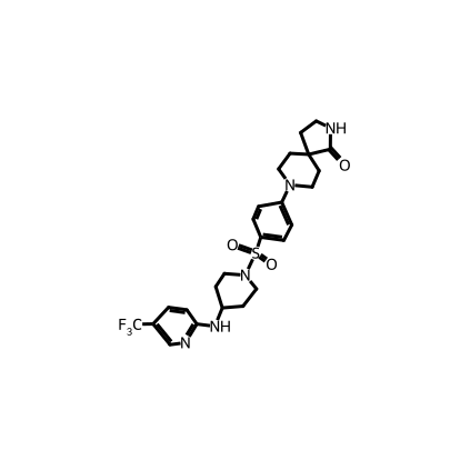 O=C1NCCC12CCN(c1ccc(S(=O)(=O)N3CCC(Nc4ccc(C(F)(F)F)cn4)CC3)cc1)CC2